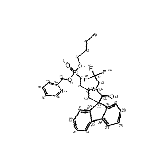 CCCCOP(=O)(CCCCC1(C(=O)NCC(F)(F)F)c2ccccc2-c2ccccc21)OCc1ccccn1